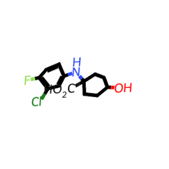 O=C(O)C1(Nc2ccc(F)c(Cl)c2)CCC(O)CC1